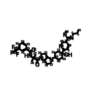 C=N/C(=N\CCC)C1C=CC(C2(O)CCC(N3CCC4C3CCN4C(=O)C(C)(C)NC(=O)c3cccc(C(F)(F)F)c3)CC2)=NC1